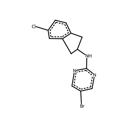 Clc1ccc2c(c1)CC(Nc1ncc(Br)cn1)C2